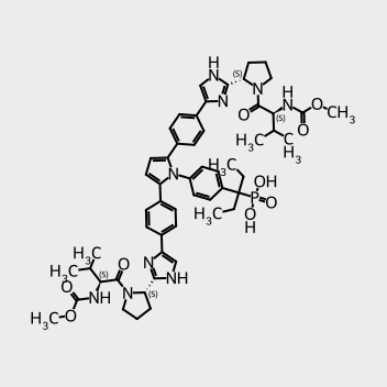 CCC(CC)(c1ccc(-n2c(-c3ccc(-c4c[nH]c([C@@H]5CCCN5C(=O)[C@@H](NC(=O)OC)C(C)C)n4)cc3)ccc2-c2ccc(-c3c[nH]c([C@@H]4CCCN4C(=O)[C@@H](NC(=O)OC)C(C)C)n3)cc2)cc1)P(=O)(O)O